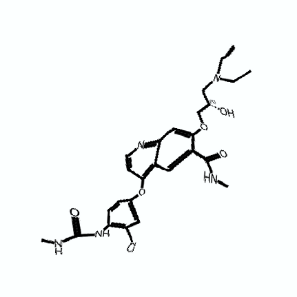 CCN(CC)C[C@H](O)COc1cc2nccc(Oc3ccc(NC(=O)NC)c(Cl)c3)c2cc1C(=O)NC